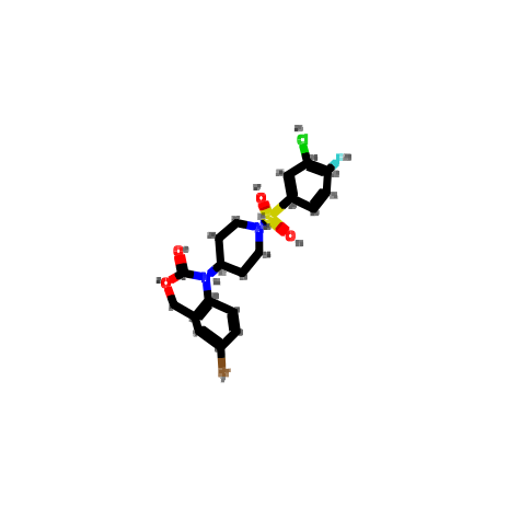 O=C1OCc2cc(Br)ccc2N1C1CCN(S(=O)(=O)c2ccc(F)c(Cl)c2)CC1